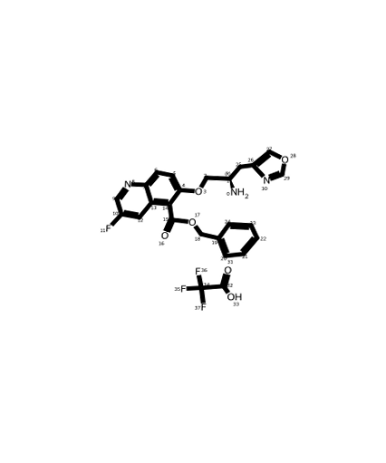 N[C@@H](COc1ccc2ncc(F)cc2c1C(=O)OCc1ccccc1)Cc1cocn1.O=C(O)C(F)(F)F